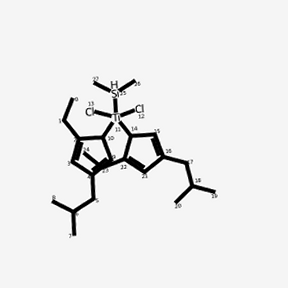 CCC1=CC(CC(C)C)=C[CH]1[Ti]([Cl])([Cl])([CH]1C=C(CC(C)C)C=C1CC)[SiH](C)C